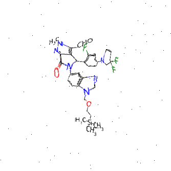 Cn1nc2c(c1C=O)C(c1ccc(N3CCC(F)(F)C3)cc1F)N(c1ccc3c(c1)ncn3COCC[Si](C)(C)C)C2=O